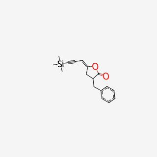 C[Si](C)(C)C#C/C=C1\CC(Cc2ccccc2)C(=O)O1